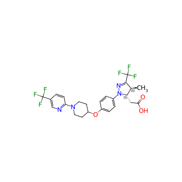 C[C@@H]1C(C(F)(F)F)=NN(c2ccc(OC3CCN(c4ccc(C(F)(F)F)cn4)CC3)cc2)[C@H]1CC(=O)O